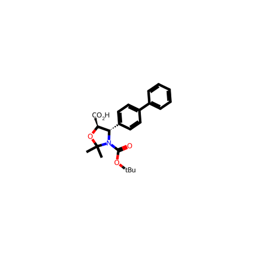 CC(C)(C)OC(=O)N1[C@@H](c2ccc(-c3ccccc3)cc2)[C@H](C(=O)O)OC1(C)C